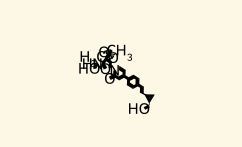 CC(CCn1ccc(-c2ccc(C=C[C@H]3C[C@@H]3CO)cc2)cc1=O)(C(=O)NO)S(C)(=O)=O